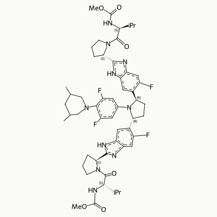 COC(=O)N[C@H](C(=O)N1CCC[C@H]1c1nc2cc(F)c([C@H]3CC[C@H](c4cc5[nH]c([C@@H]6CCCN6C(=O)[C@@H](NC(=O)OC)C(C)C)nc5cc4F)N3c3cc(F)c(N4CC(C)CC(C)C4)c(F)c3)cc2[nH]1)C(C)C